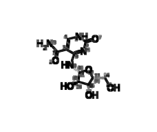 NC(=O)c1c[nH]c(=O)nc1N[C@@H]1O[C@H](CO)[C@H](O)[C@H]1O